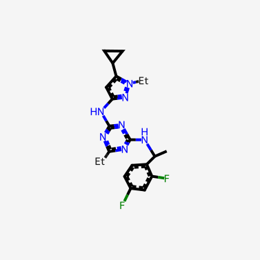 CCc1nc(Nc2cc(C3CC3)n(CC)n2)nc(NC(C)c2ccc(F)cc2F)n1